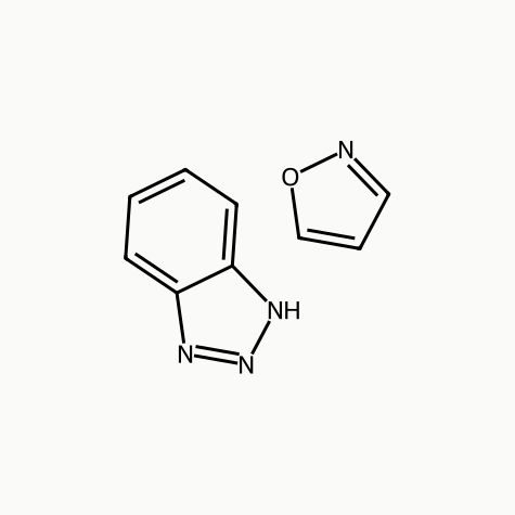 c1ccc2[nH]nnc2c1.c1cnoc1